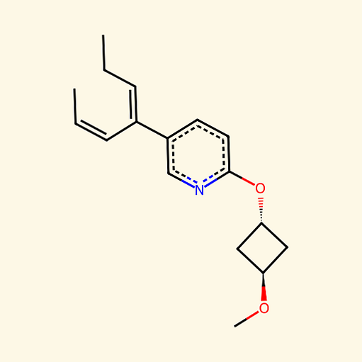 C/C=C\C(=C/CC)c1ccc(O[C@H]2C[C@H](OC)C2)nc1